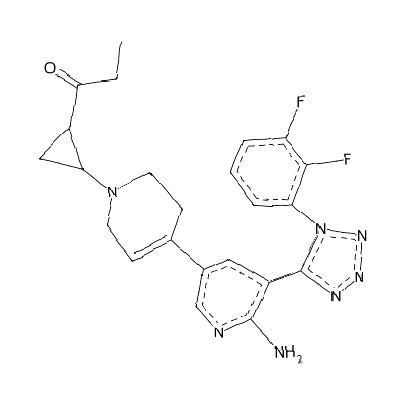 CCC(=O)C1CC1N1CC=C(c2cnc(N)c(-c3nnnn3-c3cccc(F)c3F)c2)CC1